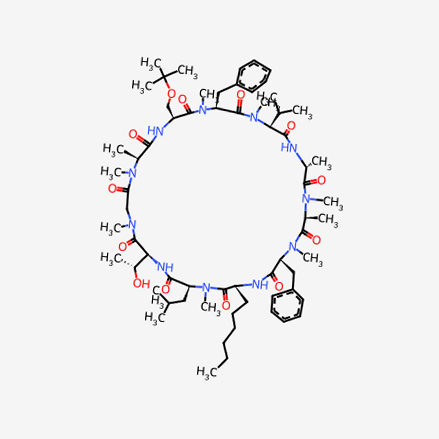 CCCCCC[C@@H]1NC(=O)[C@H](Cc2ccccc2)N(C)C(=O)[C@H](C)N(C)C(=O)[C@@H](C)NC(=O)[C@H](C(C)C)N(C)C(=O)[C@H](Cc2ccccc2)N(C)C(=O)[C@H](COC(C)(C)C)NC(=O)[C@H](C)N(C)C(=O)CN(C)C(=O)[C@H]([C@@H](C)O)NC(=O)[C@H](CC(C)C)N(C)C1=O